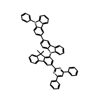 CC1(C)c2ccccc2-c2cc(-c3nc(-c4ccccc4)cc(-c4ccccc4)n3)cc(-n3c4ccccc4c4cc(-c5ccc6c(c5)c5ccccc5n6-c5ccccc5)ccc43)c21